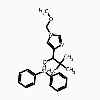 COCn1cnc(C(O[SiH](c2ccccc2)c2ccccc2)C(C)(C)C)c1